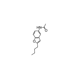 CCCCc1cc2cc(NC(C)=O)ccc2o1